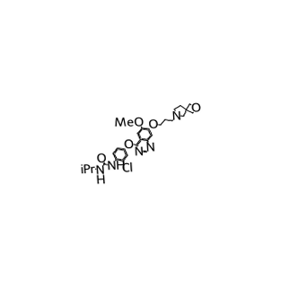 COc1cc2c(Oc3ccc(NC(=O)NC(C)C)c(Cl)c3)ncnc2cc1OCCCN1CCC2(COC2)C1